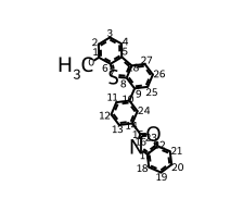 Cc1cccc2c1sc1c(-c3cccc(-c4nc5ccccc5o4)c3)cccc12